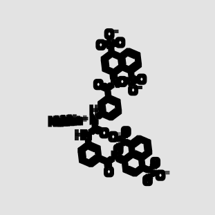 O=C(Nc1cccc(C(=O)N=C2C=CC(S(=O)(=O)[O-])c3cccc(S(=O)(=O)[O-])c32)c1)Nc1cccc(C(=O)N=C2C=CC(S(=O)(=O)[O-])c3cccc(S(=O)(=O)[O-])c32)c1.[Na+].[Na+].[Na+].[Na+]